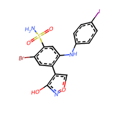 NS(=O)(=O)c1cc(Nc2ccc(I)cc2)c(-c2conc2O)cc1Br